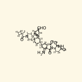 CC1(C(=O)N2CCC(c3ccc(-c4cc(N)c5c(c4)C(=O)N(C4CCC(=O)NC4=O)C5=O)cc3)(n3cc(C=O)cn3)CC2)CCC1